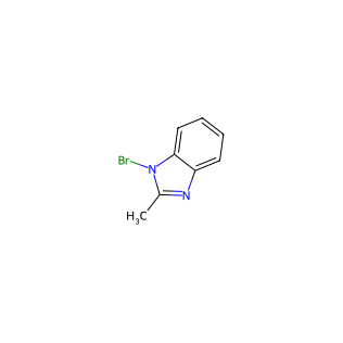 Cc1nc2ccccc2n1Br